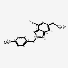 COc1ccc(Cn2cc3c(F)cc(CC(=O)O)cc3n2)cc1